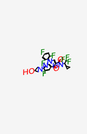 O=C(NC(C1CC1)C(F)(F)F)c1cn(-c2c(F)cc(F)cc2F)c2nc(N3CC(O)C3)c(F)cc2c1=O